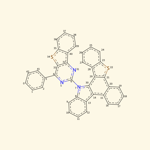 c1ccc(-c2nc(-n3c4ccccc4c4c5ccccc5c5sc6ccccc6c5c43)nc3c2sc2ccccc23)cc1